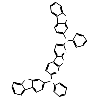 c1ccc(N(c2ccc3c(c2)oc2ccccc23)c2ccc3c(n2)sc2nc(N(c4ccccc4)c4ccc5c(c4)oc4ccccc45)ccc23)cc1